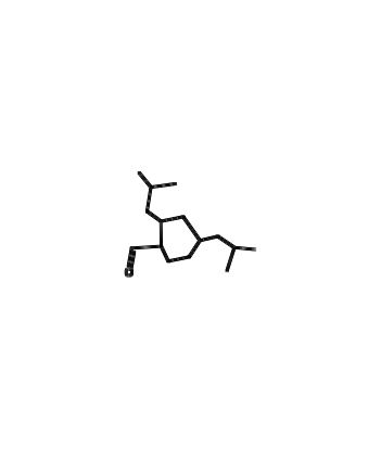 CC(C)CC1CCC(C=O)C(CC(C)C)C1